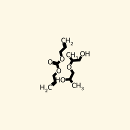 C=CCOC(=O)OCC=C.CC(O)COC(C)CO